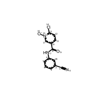 N#Cc1cccc(NC(=O)c2ccc(Cl)[n+]([O-])c2)c1